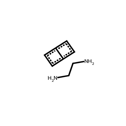 NCCN.c1cc2ccc1-2